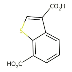 O=C(O)c1csc2c(C(=O)O)cccc12